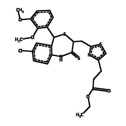 CCOC(=O)CCc1csc(CC2SC(c3cccc(OC)c3OC)c3cc(Cl)ccc3NC2=S)n1